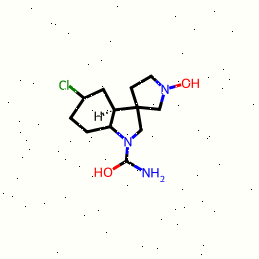 NC(O)N1CC2(CCN(O)C2)[C@@H]2CC(Cl)CCC21